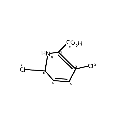 O=C(O)C1=C(Cl)C=C[C](Cl)N1